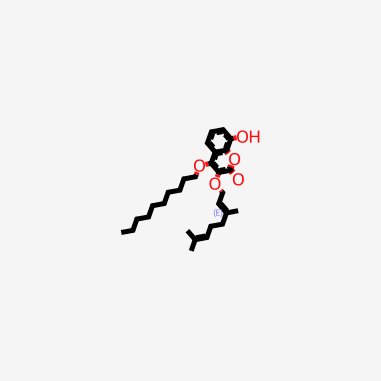 CCCCCCCCCCOc1c(OC/C=C(\C)CCC=C(C)C)c(=O)oc2c(O)cccc12